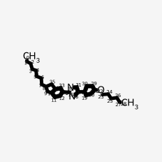 CCCCCCCCC1Cc2ccc(-c3ncc(-c4ccc(OCCCCCC)cc4)cn3)cc2C1